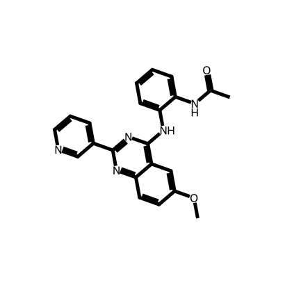 COc1ccc2nc(-c3cccnc3)nc(Nc3ccccc3NC(C)=O)c2c1